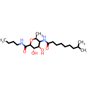 CCCCNC(=O)C1O[C@@H](C)C(NC(=O)CCCCCCC(C)C)[C@@H](O)[C@@H]1O